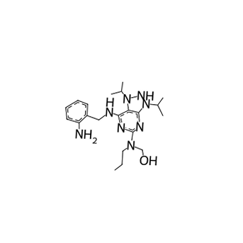 CCCN(CO)c1nc(NCc2ccccc2N)c2c(n1)N(C(C)C)NN2C(C)C